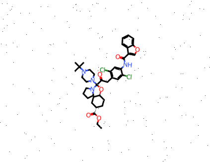 CCOC(=O)[C@H]1CC[C@H](OC(C(=O)Cc2cc(Cl)c(NC(=O)c3coc4ccccc34)cc2Cl)(N2CCCC2)N2CCN(C(C)(C)C)CC2)CC1